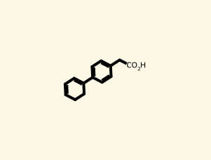 O=C(O)Cc1ccc(C2=CC=CCC2)cc1